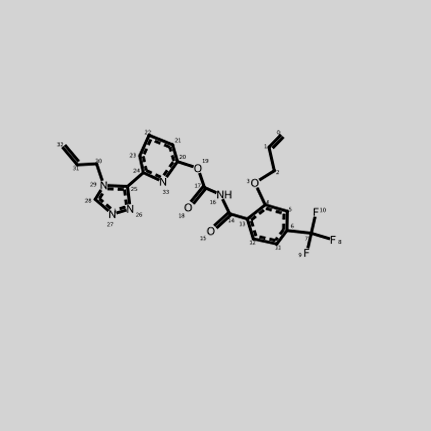 C=CCOc1cc(C(F)(F)F)ccc1C(=O)NC(=O)Oc1cccc(-c2nncn2CC=C)n1